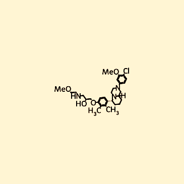 COCCNCC(O)COc1ccc([C@H]2CCC[C@H]3CN(c4ccc(Cl)c(OC)c4)CCN32)c(C)c1C